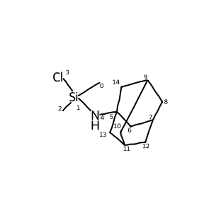 C[Si](C)(Cl)NC12CC3CC(CC(C3)C1)C2